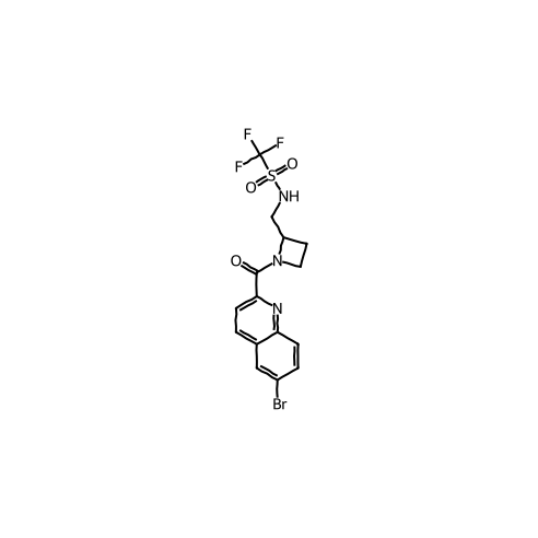 O=C(c1ccc2cc(Br)ccc2n1)N1CCC1CNS(=O)(=O)C(F)(F)F